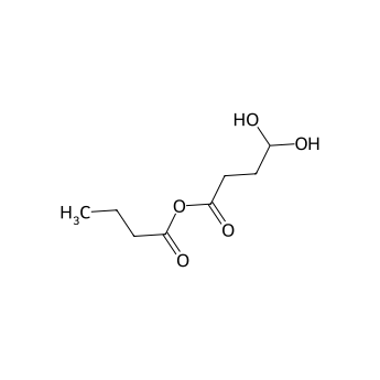 CCCC(=O)OC(=O)CCC(O)O